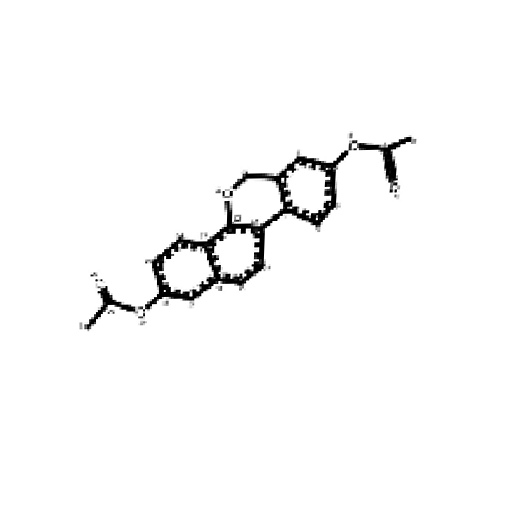 CC(=O)Oc1ccc2c(c1)COc1c-2ccc2cc(OC(C)=O)ccc12